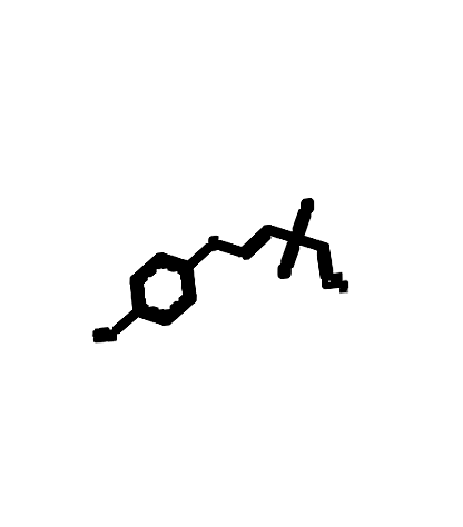 C=CS(=O)(=O)/C=C/Sc1ccc(C(C)(C)C)cc1